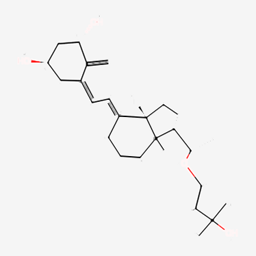 C=C1/C(=C\C=C2/CCCC3(C)[C@@H]([C@H](C)OCCC(C)(C)O)CC[C@@H]23)C[C@@H](O)C[C@@H]1O